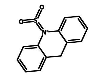 O=S(=O)=[N+]1c2ccccc2Cc2ccccc21